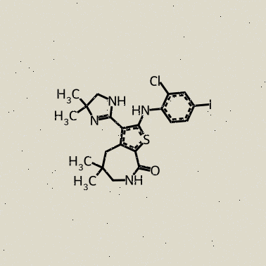 CC1(C)CNC(=O)c2sc(Nc3ccc(I)cc3Cl)c(C3=NC(C)(C)CN3)c2C1